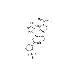 CN(C)[C@@H]1CC[C@H](N2CCC(NC(=O)c3cccc(C(F)(F)F)c3)C2=O)[C@H](CC(C)(C)C(=O)O)C1